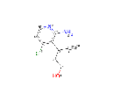 C#CC(CCO)c1c(Cl)ccnc1N